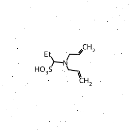 C=CCN(CC=C)C(CC)S(=O)(=O)O